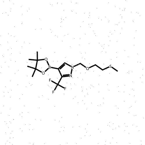 CSCCOCn1cc(B2OC(C)(C)C(C)(C)O2)c(C(F)(F)F)n1